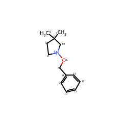 CC1(C)CCN(OCc2ccccc2)C1